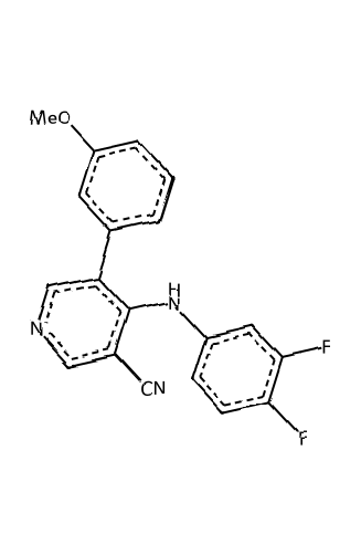 COc1cccc(-c2cncc(C#N)c2Nc2ccc(F)c(F)c2)c1